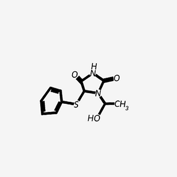 CC(O)N1C(=O)NC(=O)C1Sc1ccccc1